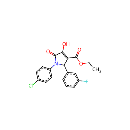 CCOC(=O)C1=C(O)C(=O)N(c2ccc(Cl)cc2)C1c1cccc(F)c1